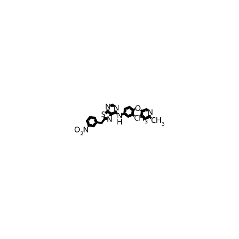 Cc1ccc(Oc2ccc(Nc3ncnc4sc(Cc5cccc([N+](=O)[O-])c5)nc34)cc2C)cn1